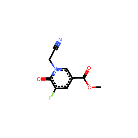 COC(=O)c1cc(F)c(=O)n(CC#N)c1